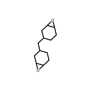 [CH](C1CCC2OC2C1)C1CCC2OC2C1